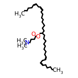 CCCCC/C=C\C/C=C\CCCCCCCCC(CCCCCCCC/C=C\C/C=C\CCCCC)COC(=O)CCCN(C)C